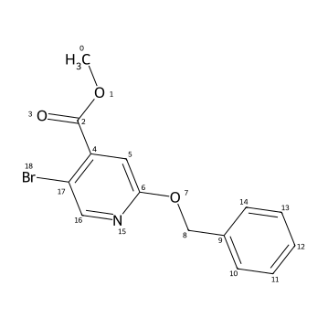 COC(=O)c1cc(OCc2ccccc2)ncc1Br